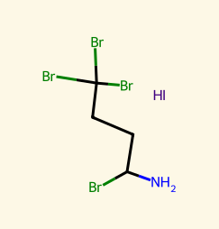 I.NC(Br)CCC(Br)(Br)Br